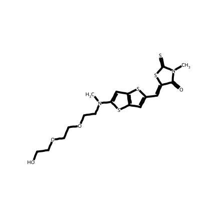 CN1C(=O)/C(=C/c2cc3sc(N(C)CCOCCOCCO)cc3s2)SC1=S